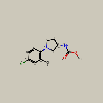 CC(C)(C)OC(=O)N[C@H]1CCN(c2ccc(Br)cc2C#N)C1